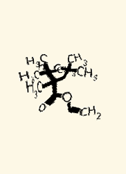 C=COC(=O)C(C)(CC(C)(C)C)C(C)(C)C